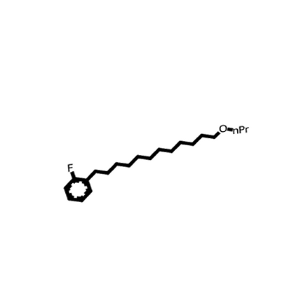 CCCOCCCCCCCCCCCCc1ccccc1F